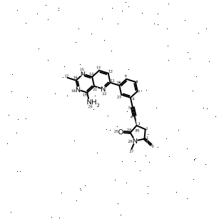 C=C1C[C@H](C#Cc2cccc(-c3ccc4nc(C)nc(N)c4n3)c2)C(=O)N1C